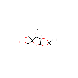 CO[C@H]1[C@H]2OC(C)(C)O[C@H]2OC1(CO)CO